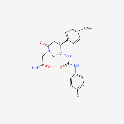 COc1ccc([C@@H]2CC(=O)N(CC(N)=O)C[C@H]2NC(=O)Nc2ccc(Cl)cc2)cc1